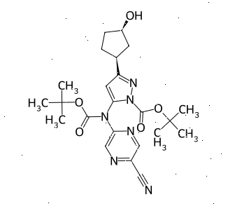 CC(C)(C)OC(=O)N(c1cnc(C#N)cn1)c1cc([C@H]2CC[C@@H](O)C2)nn1C(=O)OC(C)(C)C